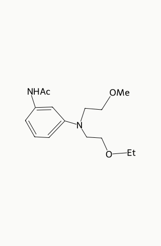 CCOCCN(CCOC)c1cccc(NC(C)=O)c1